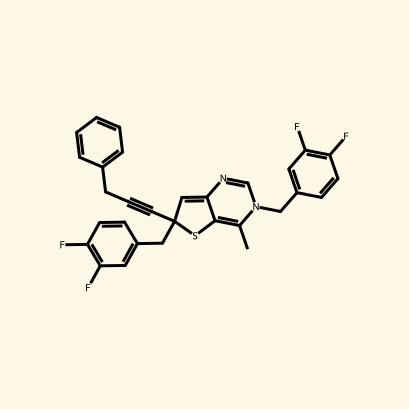 CC1=C2SC(C#CCc3ccccc3)(Cc3ccc(F)c(F)c3)C=C2N=CN1Cc1ccc(F)c(F)c1